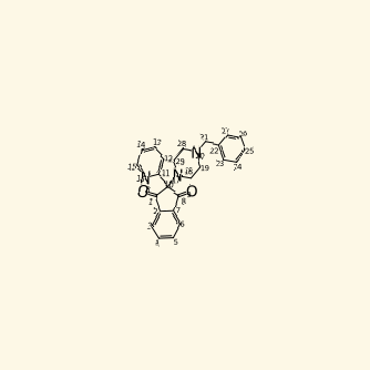 O=C1c2ccccc2C(=O)C1(c1ccccn1)N1CCN(Cc2ccccc2)CC1